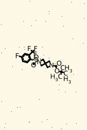 CC(C)(C)OC(=O)N1CC2(C1)CN(S(=O)(=O)c1ccc(F)cc1C(F)(F)F)C2